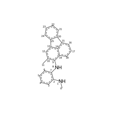 CNc1ccccc1Nc1c(C)cc2c3c(cccc13)-c1ccccc1-2